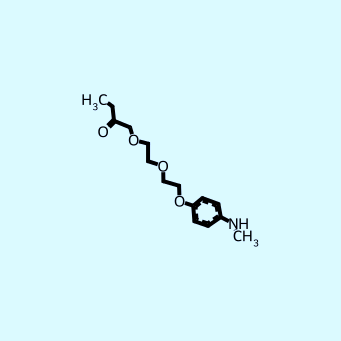 CCC(=O)COCCOCCOc1ccc(NC)cc1